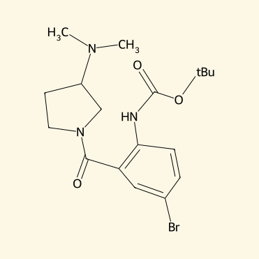 CN(C)C1CCN(C(=O)c2cc(Br)ccc2NC(=O)OC(C)(C)C)C1